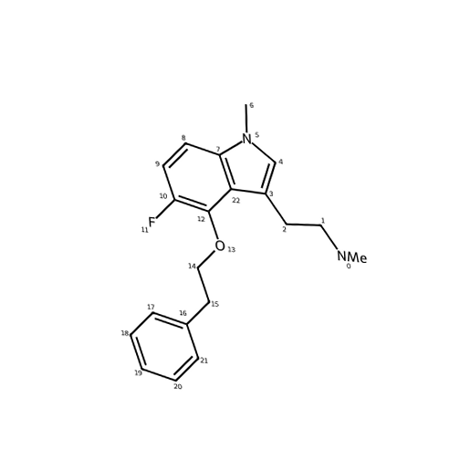 CNCCc1cn(C)c2ccc(F)c(OCCc3ccccc3)c12